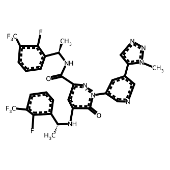 C[C@@H](NC(=O)c1cc(N[C@H](C)c2cccc(C(F)(F)F)c2F)c(=O)n(-c2cncc(-c3cnnn3C)c2)n1)c1cccc(C(F)(F)F)c1F